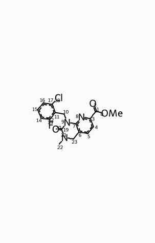 COC(=O)c1ccc2c(n1)N(Cc1c(F)cccc1Cl)C(=O)N(C)C2